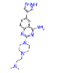 CN(C)CCN1CCN(c2nc(N)c3cc(-c4cn[nH]c4)ccc3n2)CC1